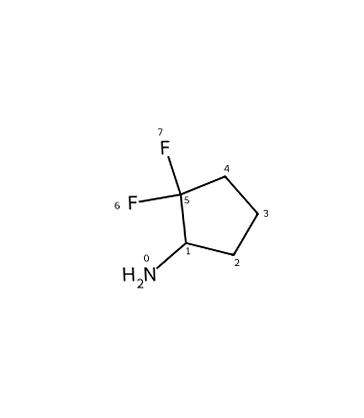 NC1CCCC1(F)F